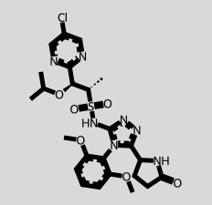 COc1cccc(OC)c1-n1c(NS(=O)(=O)[C@@H](C)[C@@H](OC(C)C)c2ncc(Cl)cn2)nnc1C1CCC(=O)N1